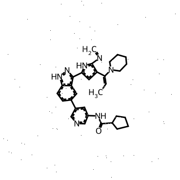 C=Nc1[nH]c(-c2n[nH]c3ccc(-c4cncc(NC(=O)C5CCCC5)c4)cc23)cc1/C(=C\C)N1CCCCC1